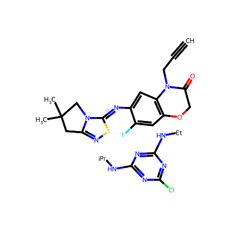 C#CCN1C(=O)COc2cc(F)c(/N=c3\snc4n3CC(C)(C)C4)cc21.CCNc1nc(Cl)nc(NC(C)C)n1